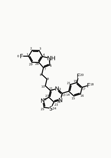 Fc1ccc2[nH]cc(CCCc3nc(-c4ccc(F)c(F)c4)nc4scnc34)c2c1